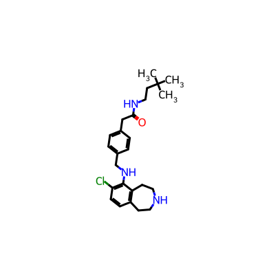 CC(C)(C)CCNC(=O)Cc1ccc(CNc2c(Cl)ccc3c2CCNCC3)cc1